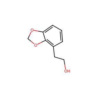 OCCc1cccc2c1OCO2